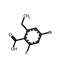 CCc1cc(Br)cc(F)c1C(=O)O